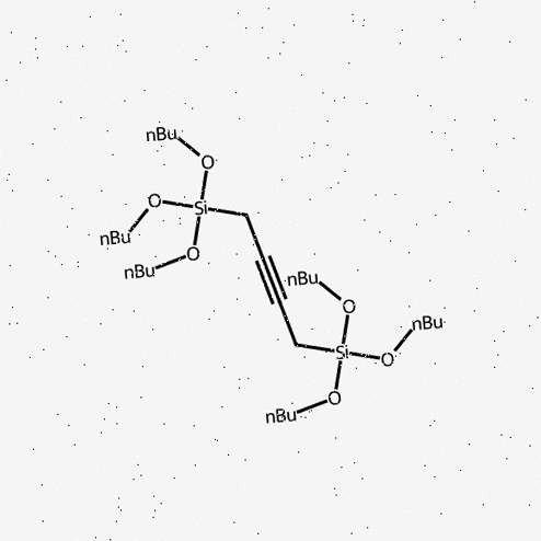 CCCCO[Si](CC#CC[Si](OCCCC)(OCCCC)OCCCC)(OCCCC)OCCCC